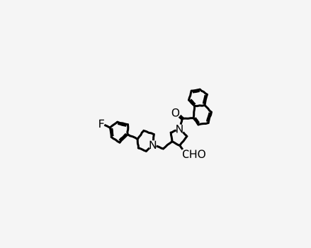 O=CC1CN(C(=O)c2cccc3ccccc23)CC1CN1CCC(c2ccc(F)cc2)CC1